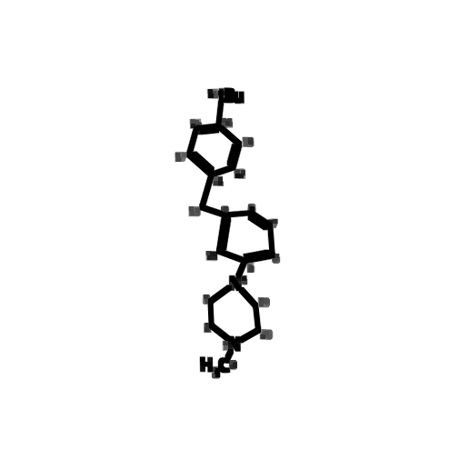 CN1CCN(c2c[c]cc(Cc3ccc(C(C)(C)C)cc3)c2)CC1